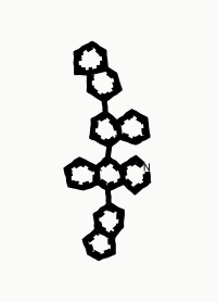 c1ccc2cc(-c3ccc(-c4c5ccccc5c(-c5ccc6ccccc6c5)c5ccncc45)c4ccccc34)ccc2c1